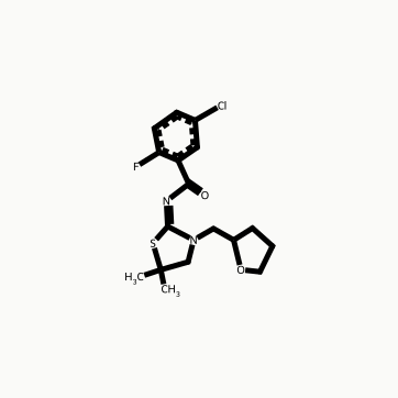 CC1(C)CN(CC2CCCO2)C(=NC(=O)c2cc(Cl)ccc2F)S1